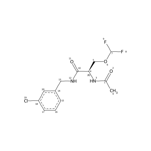 CC(=O)N[C@H](COC(F)F)C(=O)NCc1cccc(Cl)c1